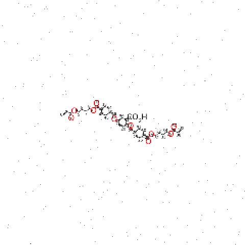 C=CC(=O)OCCCCOC(=O)C1CCC(COc2ccc(OCC3CCC(C(=O)OCCCCOC(=O)C=C)CC3)c(C(=O)O)c2)CC1